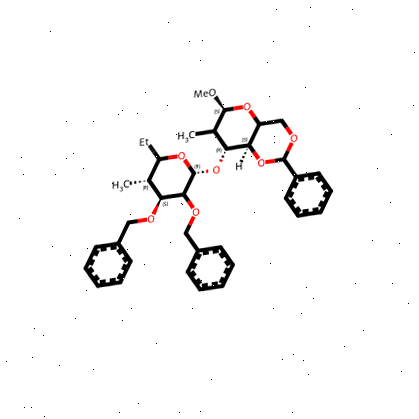 CCC1O[C@H](O[C@@H]2C(C)[C@@H](OC)OC3COC(c4ccccc4)O[C@H]32)C(OCc2ccccc2)[C@@H](OCc2ccccc2)[C@@H]1C